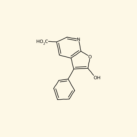 O=C(O)c1cnc2oc(O)c(-c3ccccc3)c2c1